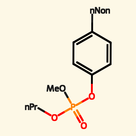 CCCCCCCCCc1ccc(OP(=O)(OC)OCCC)cc1